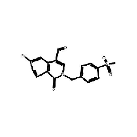 CS(=O)(=O)c1ccc(Cn2cc(C=O)c3cc(Br)ccc3c2=O)cc1